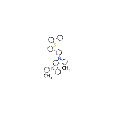 Cc1cccc(-n2c3ccccc3c3c4c5c(C)cccc5n(-c5cccc(-c6cccc7c6sc6c(-c8ccccc8)cccc67)c5)c4ccc32)c1